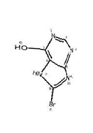 Oc1ncnc2c1NC(Br)=[N+]2